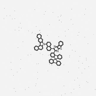 c1ccc2c(c1)-c1ccccc1C21c2ccccc2-c2c(-c3nc4sc5ccccc5c4nc3-c3cccc4c(-n5c6cc7ccccc7cc6c6c7ccccc7ccc65)cccc34)cccc21